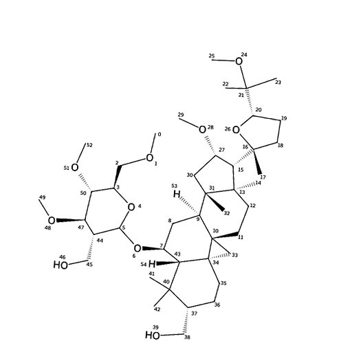 COC[C@H]1OC(O[C@H]2C[C@@H]3[C@]4(CC[C@]5(C)[C@@H]([C@@]6(C)CC[C@@H](C(C)(C)OC)O6)[C@@H](OC)C[C@@]35C)C[C@@]43CC[C@H](CO)C(C)(C)[C@H]23)[C@H](CO)[C@@H](OC)[C@@H]1OC